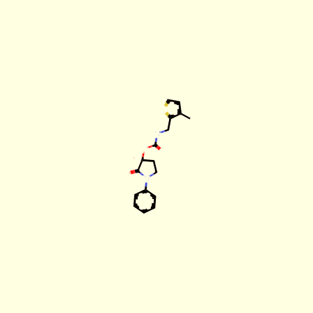 Cc1ccsc1CNC(=O)O[C@@]1(O)CCN(c2ccccc2)C1=O